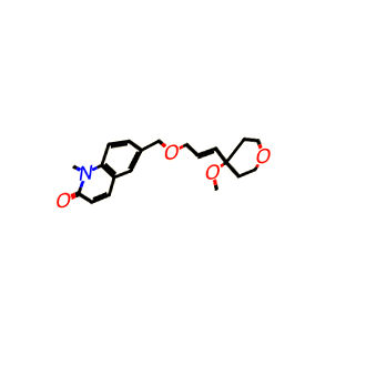 COC1(C=CCOCc2ccc3c(ccc(=O)n3C)c2)CCOCC1